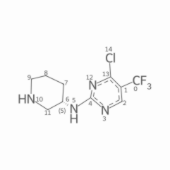 FC(F)(F)c1cnc(N[C@H]2CCCNC2)nc1Cl